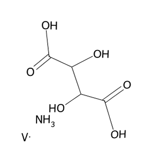 N.O=C(O)C(O)C(O)C(=O)O.[V]